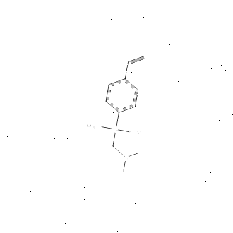 C=Cc1ccc([Si](CN(CC)CC)(OC)OC)cc1